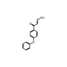 O=C(/C=N/O)c1ccc(Oc2ccccc2)cc1